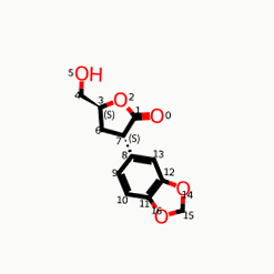 O=C1O[C@H](CO)C[C@H]1c1ccc2c(c1)OCO2